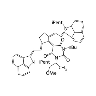 CCCCN1C(=O)/C(=C2C(=C/C=C3/C4=CC=CC5=CC=CC(C54)N3C(C)CCC)\CCC\2=C/C=c2/c3cccc4cccc(c43)n2C(C)CCC)C(=O)N(C(C)COC)C1=O